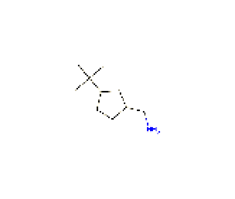 CC(C)(C)C1CCC(CN)C1